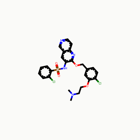 CN(C)CCOc1cc(COc2nc3ccncc3cc2NS(=O)(=O)c2ccccc2Cl)ccc1Cl